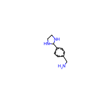 NCc1ccc(C2NCCN2)cc1